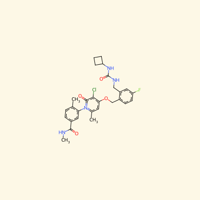 CNC(=O)c1ccc(C)c(-n2c(C)cc(OCc3ccc(F)cc3CNC(=O)NC3CCC3)c(Cl)c2=O)c1